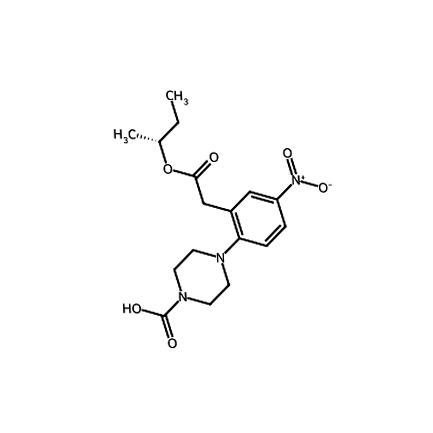 CC[C@@H](C)OC(=O)Cc1cc([N+](=O)[O-])ccc1N1CCN(C(=O)O)CC1